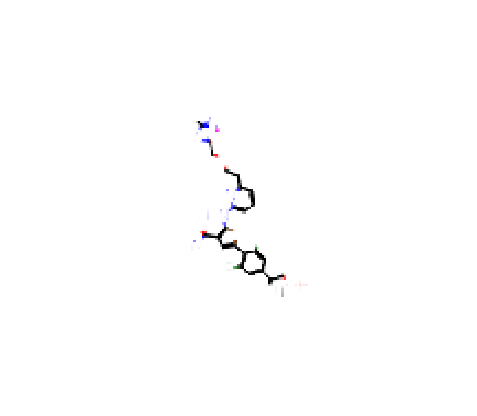 Cc1noc(COCCc2cccc(Nc3sc(-c4c(F)cc(C(C)CO)cc4F)cc3C(N)=O)n2)n1